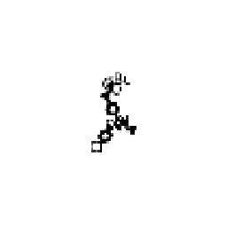 CC(C)(C)OC(=O)C1CC1C1=CCC(c2nn(C3CC3)cc2Sc2ccc(Cl)cc2)C=C1